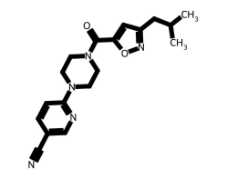 CC(C)Cc1cc(C(=O)N2CCN(c3ccc(C#N)cn3)CC2)on1